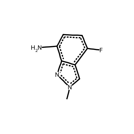 Cn1cc2c(F)ccc(N)c2n1